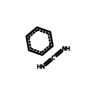 N=C=N.c1ccccc1